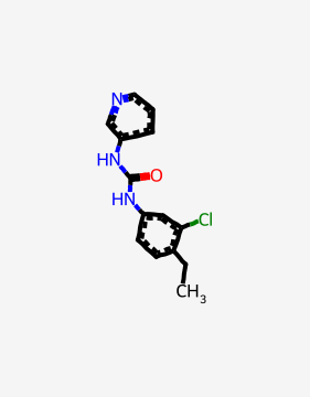 CCc1ccc(NC(=O)Nc2cccnc2)cc1Cl